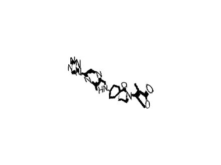 CC1=C(N2CC[C@]3(CC[C@@H](NCc4ncc(-n5cnnn5)nc4C)CC3)C2=O)COC1=O